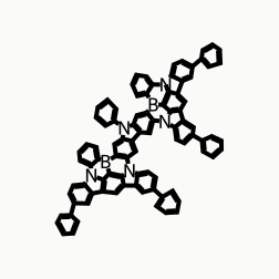 c1ccc(-c2ccc3c(c2)c2cc4c5cc(-c6ccccc6)ccc5n5c4c4c2n3-c2ccccc2B4c2cc3c(cc2-5)c2cc4c(cc2n3-c2ccccc2)B2c3ccccc3-n3c5ccc(-c6ccccc6)cc5c5cc6c7cc(-c8ccccc8)ccc7n-4c6c2c53)cc1